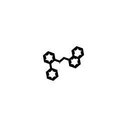 [CH](Cc1cccc2ccccc12)c1ccccc1-c1ccccc1